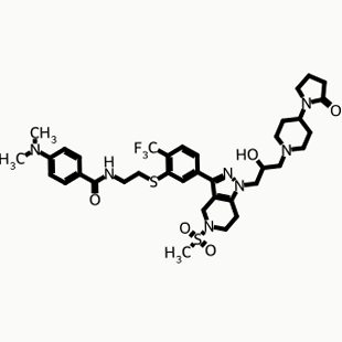 CN(C)c1ccc(C(=O)NCCSc2cc(-c3nn(CC(O)CN4CCC(N5CCCC5=O)CC4)c4c3CN(S(C)(=O)=O)CC4)ccc2C(F)(F)F)cc1